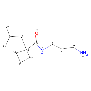 CC(C)CC1(C(=O)NCCCN)CCC1